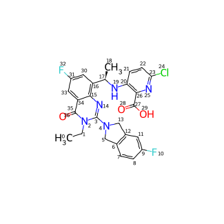 CCn1c(N2Cc3ccc(F)cc3C2)nc2c([C@@H](C)Nc3ccc(Cl)nc3C(=O)O)cc(F)cc2c1=O